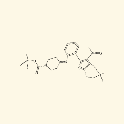 CC(=O)c1c(-c2ccccc2C=C2CCN(C(=O)OC(C)(C)C)CC2)sc2c1CC(C)(C)CC2